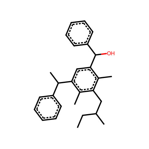 CCC(C)Cc1c(C)c(C(C)c2ccccc2)cc(C(O)c2ccccc2)c1C